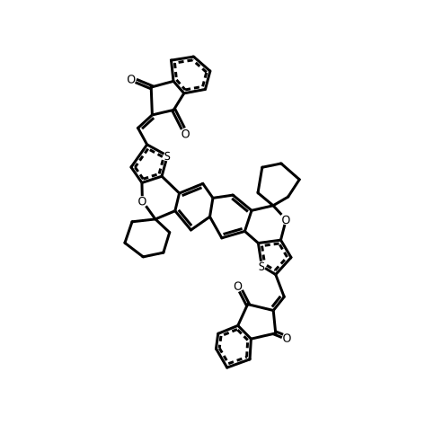 O=C1C(=Cc2cc3c(s2)C2=CC4C=C5C(=CC4C=C2C2(CCCCC2)O3)c2sc(C=C3C(=O)c4ccccc4C3=O)cc2OC52CCCCC2)C(=O)c2ccccc21